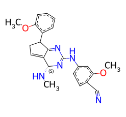 CN[C@H]1N=C(Nc2ccc(C#N)c(OC)c2)N=C2C1=CCC2c1ccccc1OC